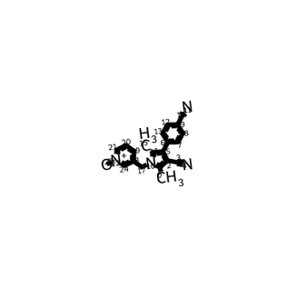 Cc1c(C#N)c(-c2ccc(C#N)cc2)c(C)n1Cc1ccc[n+]([O-])c1